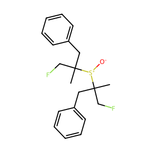 CC(CF)(Cc1ccccc1)[S+]([O-])C(C)(CF)Cc1ccccc1